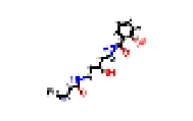 CC/C=C\CC(=O)NCCC(O)CCNC(=O)c1ccccc1O